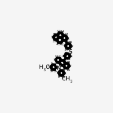 Cc1ccc(N(c2ccc(C)cc2)c2c3ccccc3c(-c3ccc(Sc4ccc(-c5ccc6ccc7cccc8ccc5c6c78)cc4)cc3)c3ccccc23)cc1